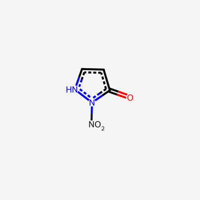 O=c1cc[nH]n1[N+](=O)[O-]